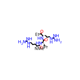 CCC(=O)[C@H](CCCNC(=N)N)NC(=O)[C@H](CC(C)C)NC(=O)[C@H](CCCNC(=N)N)NC